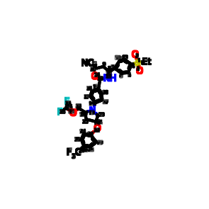 CCS(=O)(=O)c1ccc([C@H](CCC#N)NC(=O)c2ccc(N3C[C@H](Oc4ccc(C(F)(F)F)cc4)C[C@H]3COC(F)F)cc2)cc1